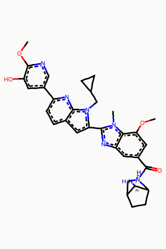 COc1ncc(-c2ccc3cc(-c4nc5cc(C(=O)N6CC7CCC6[C@@H]7N)cc(OC)c5n4C)n(CC4CC4)c3n2)cc1O